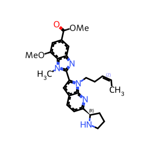 C/C=C\CCn1c(-c2nc3cc(C(=O)OC)cc(OC)c3n2C)cc2ccc([C@H]3CCCN3)nc21